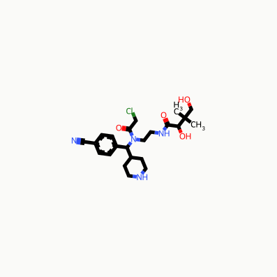 CC(C)(CO)C(O)C(=O)NCCN(C(=O)CCl)C(c1ccc(C#N)cc1)C1CCNCC1